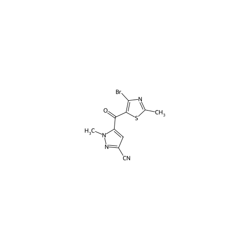 Cc1nc(Br)c(C(=O)c2cc(C#N)nn2C)s1